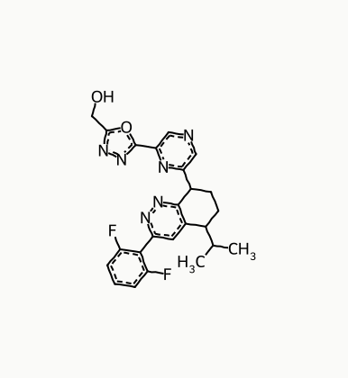 CC(C)C1CCC(c2cncc(-c3nnc(CO)o3)n2)c2nnc(-c3c(F)cccc3F)cc21